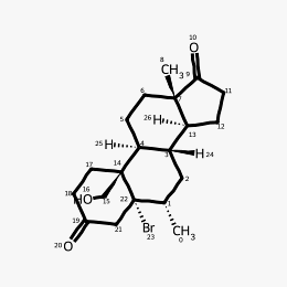 C[C@H]1C[C@@H]2[C@H](CC[C@]3(C)C(=O)CC[C@@H]23)[C@@]2(CO)CCC(=O)C[C@]12Br